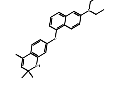 CCN(CC)c1ccc2c(Oc3ccc4c(c3)NC(C)(C)C=C4C)cccc2c1